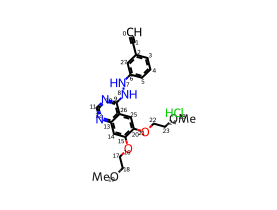 C#Cc1cccc(NNc2ncnc3cc(OCCOC)c(OCCOC)cc23)c1.Cl